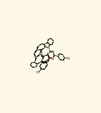 Clc1ccc(-c2nc(-c3ccc(Cl)cc3)nc(-n3c4ccccc4c4ccc5cc6c7ccccc7c7ccccc7n6c5c43)n2)cc1